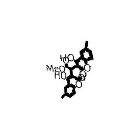 COC(=O)C(c1c(O)c2cc(C)ccc2oc1=O)c1c(O)c2cc(C)ccc2oc1=O